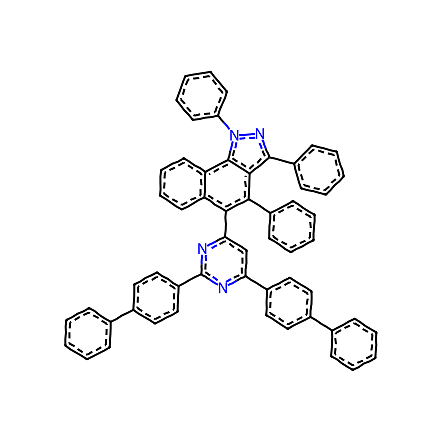 c1ccc(-c2ccc(-c3cc(-c4c(-c5ccccc5)c5c(-c6ccccc6)nn(-c6ccccc6)c5c5ccccc45)nc(-c4ccc(-c5ccccc5)cc4)n3)cc2)cc1